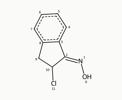 ON=C1c2ccccc2CC1Cl